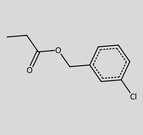 CCC(=O)OCc1cccc(Cl)c1